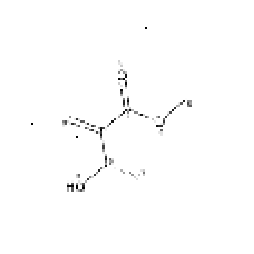 C=C(C(=O)OC)[C@H](C)O